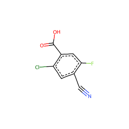 N#Cc1cc(Cl)c(C(=O)O)cc1F